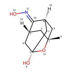 C[C@@]12C[C@@H]3C[C@@](O)(C[C@H](C1)/C3=N/O)O2